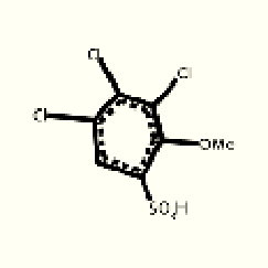 COc1c(S(=O)(=O)O)cc(Cl)c(Cl)c1Cl